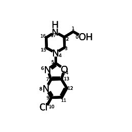 OCC1CN(c2nc3nc(Cl)ccc3o2)CCN1